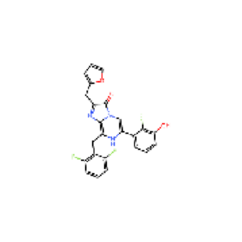 O=c1c(Cc2ccco2)nc2c(Cc3c(F)cccc3F)[nH]c(-c3cccc(O)c3F)cn1-2